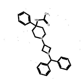 CC(=O)NC1(c2ccccc2)CCN(C2CN(C(c3ccccc3)c3ccccc3)C2)CC1